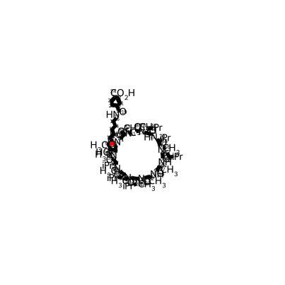 CC[C@@H]1NC(=O)[C@H]([C@H](O)[C@H](C)CCCCCCCNC(=O)c2ccc(C(=O)O)cc2)N(C)C(=O)[C@H](C(C)C)N(C)C(=O)[C@H](CC(C)C)N(C)C(=O)[C@H](CC(C)C)N(C)C(=O)[C@H](C)NC(=O)[C@@H](C)NC(=O)[C@@H](CCC(C)C)N(C)C(=O)[C@@H](C(C)C)NC(=O)[C@H](CC(C)C)N(C)C(=O)CN(C)C1=O